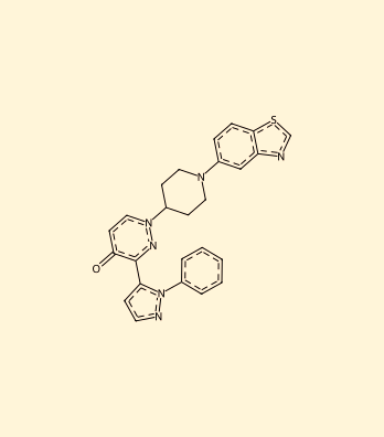 O=c1ccn(C2CCN(c3ccc4scnc4c3)CC2)nc1-c1ccnn1-c1ccccc1